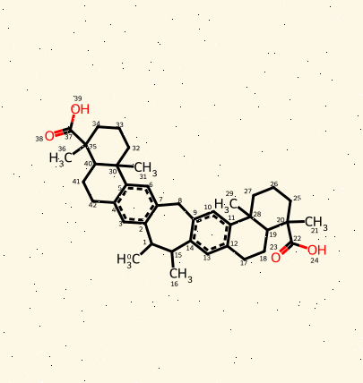 CC1c2cc3c(cc2Cc2cc4c(cc2C1C)CCC1C(C)(C(=O)O)CCCC41C)C1(C)CCCC(C)(C(=O)O)C1CC3